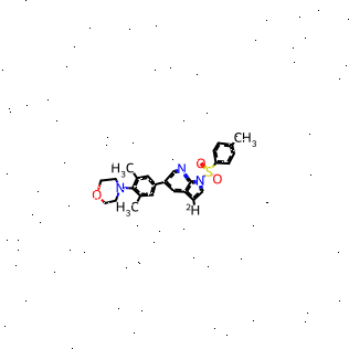 [2H]c1cn(S(=O)(=O)c2ccc(C)cc2)c2ncc(-c3cc(C)c(N4CCOCC4)c(C)c3)cc12